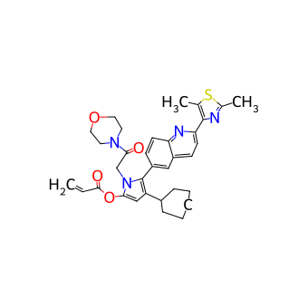 C=CC(=O)Oc1cc(C2CCCCC2)c(-c2ccc3nc(-c4nc(C)sc4C)ccc3c2)n1CC(=O)N1CCOCC1